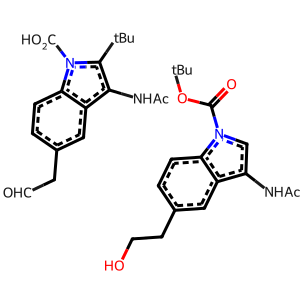 CC(=O)Nc1c(C(C)(C)C)n(C(=O)O)c2ccc(CC=O)cc12.CC(=O)Nc1cn(C(=O)OC(C)(C)C)c2ccc(CCO)cc12